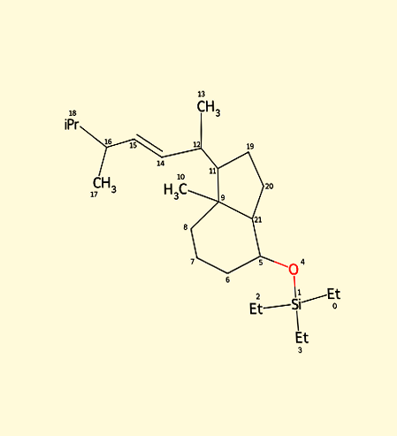 CC[Si](CC)(CC)OC1CCCC2(C)C(C(C)/C=C/C(C)C(C)C)CCC12